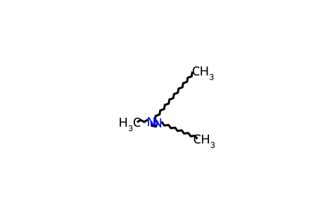 CCCCCCCCCCCCCCCCCCC1N(CCCC)C=CN1CCCCCCCCCCCC